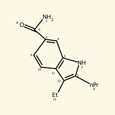 CCCc1[nH]c2cc(C(N)=O)ccc2c1CC